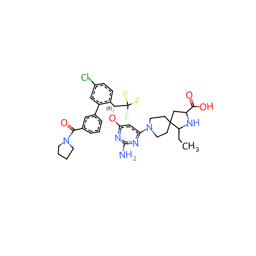 CCC1NC(C(=O)O)CC12CCN(c1cc(O[C@H](c3ccc(Cl)cc3-c3cccc(C(=O)N4CCCC4)c3)C(F)(F)F)nc(N)n1)CC2